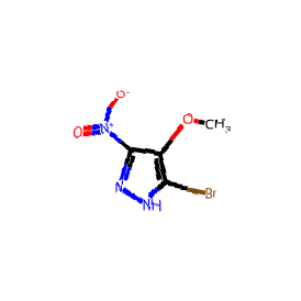 COc1c([N+](=O)[O-])n[nH]c1Br